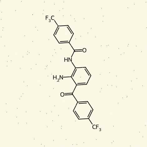 Nc1c(NC(=O)c2ccc(C(F)(F)F)cc2)cccc1C(=O)c1ccc(C(F)(F)F)cc1